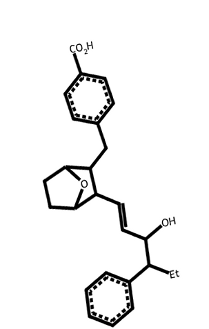 CCC(c1ccccc1)C(O)C=CC1C2CCC(O2)C1Cc1ccc(C(=O)O)cc1